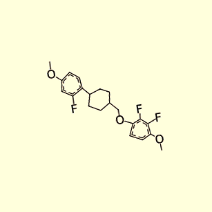 COc1ccc(C2CCC(COc3ccc(OC)c(F)c3F)CC2)c(F)c1